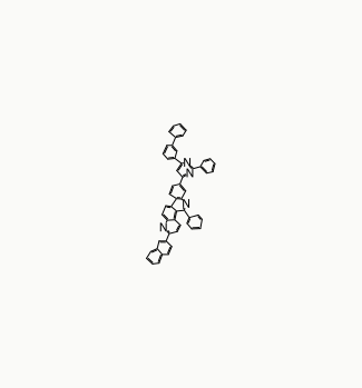 c1ccc(-c2cccc(-c3cc(-c4ccc5c(c4)nc(-c4ccccc4)c4c6ccc(-c7ccc8ccccc8c7)nc6ccc54)nc(-c4ccccc4)n3)c2)cc1